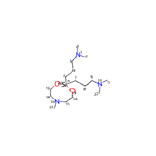 CN(C)CCC[Si]1(CCCN(C)C)OCCN(C)CCO1